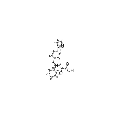 O=C(O)C1CN(Cc2ccc(-n3cccn3)cc2)c2ccccc2O1